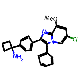 COc1cc(Cl)cn2c(-c3ccccc3)c(-c3ccc(C4(N)CCC4)cc3)nc12